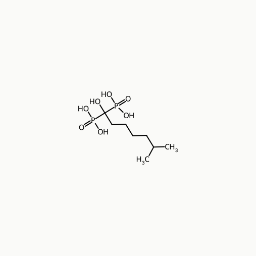 CC(C)CCCCC(O)(P(=O)(O)O)P(=O)(O)O